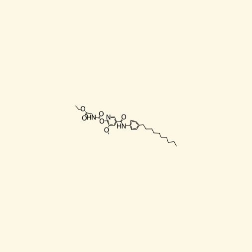 CCCCCCCCCCc1ccc(NC(=O)c2cnc(OC(=O)NCC(=O)OCC)c(OC)c2)cc1